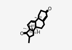 CC1C[C@H]2[C@@H]3CCC4=CC(=O)CC[C@]4(C)C3=CC[C@]2(C)C1=O